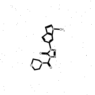 Cn1ccc2ccc(-n3nnn(C(=O)N4CCOCC4)c3=O)cc21